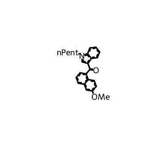 CCCCCn1cc(C(=O)c2cccc3cc(OC)ccc23)c2ccccc21